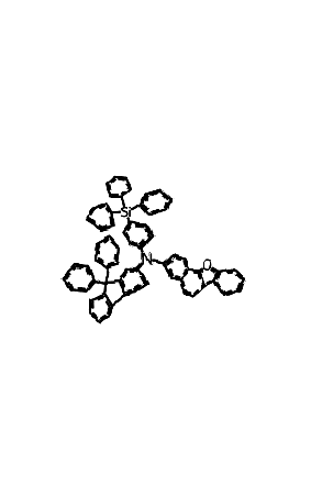 c1ccc(C2(c3ccccc3)c3ccccc3-c3ccc(N(c4ccc([Si](c5ccccc5)(c5ccccc5)c5ccccc5)cc4)c4ccc5c(ccc6c7ccccc7oc56)c4)cc32)cc1